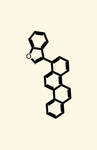 [c]1oc2ccccc2c1-c1cccc2c1ccc1c3ccccc3ccc21